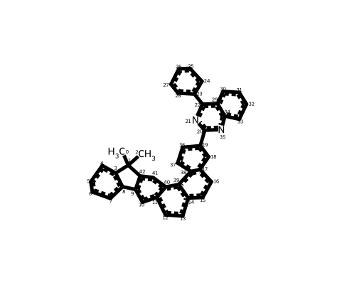 CC1(C)c2ccccc2-c2cc3ccc4ccc5cc(-c6nc(-c7ccccc7)c7ccccc7n6)ccc5c4c3cc21